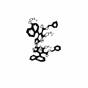 CC1=C(C(=O)OCc2ccccc2)C(c2cccc3ccccc23)c2cn[nH]c2N1.COc1ccc(C2C(C(=O)OCc3ccccc3)=C(C)Nc3[nH]ncc32)c2ccccc12